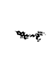 CN(C)Cc1cc(S(N)(=O)=O)nn1CCCOc1cc(-c2ccc3c(c2N)CCC3)ccn1